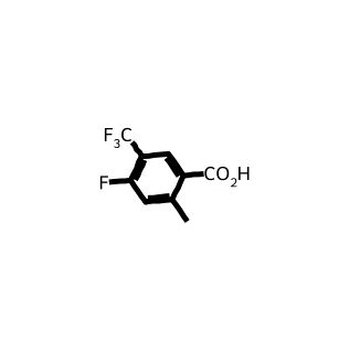 Cc1cc(F)c(C(F)(F)F)cc1C(=O)O